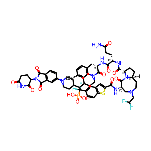 CC(C)(C)c1ccc(C[C@H](NC(=O)[C@H](CCC(N)=O)NC(=O)[C@@H]2CC[C@@H]3CCN(CC(F)F)C[C@H](NC(=O)c4cc5cc(C(F)(F)P(=O)(O)O)ccc5s4)C(=O)N32)C(=O)N2CCC(CC3CCN(c4ccc5c(c4)C(=O)N(C4CCC(=O)NC4=O)C5=O)CC3)CC2)cc1